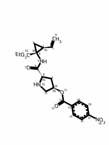 C=C[C@@H]1C[C@]1(NC(=O)[C@@H]1C[C@@H](OC(=O)c2ccc([N+](=O)[O-])cc2)CN1)C(=O)OCC